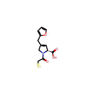 O=C(O)[C@@H]1C=C(Cc2ccco2)CN1C(=O)CS